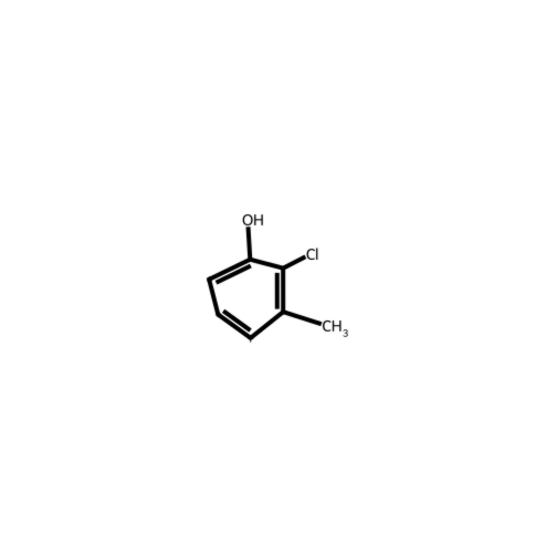 Cc1[c]ccc(O)c1Cl